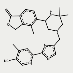 C=C1OCc2c1ccc(C1CN(Cc3cnn(-c4cc(C)c(C#N)cn4)n3)CC(C)(C)N1)c2C